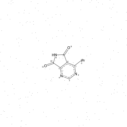 CC(C)c1ncnc2c1C(=O)NC2=O